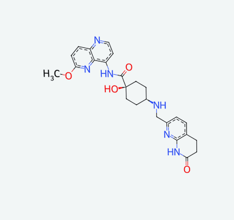 COc1ccc2nccc(NC(=O)[C@]3(O)CC[C@@H](NCc4ccc5c(n4)NC(=O)CC5)CC3)c2n1